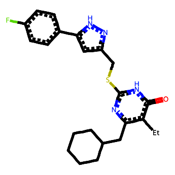 CCc1c(CC2CCCCC2)nc(SCc2cc(-c3ccc(F)cc3)[nH]n2)[nH]c1=O